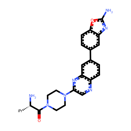 CC(C)[C@H](N)C(=O)N1CCN(c2cnc3ccc(-c4ccc5oc(N)nc5c4)cc3n2)CC1